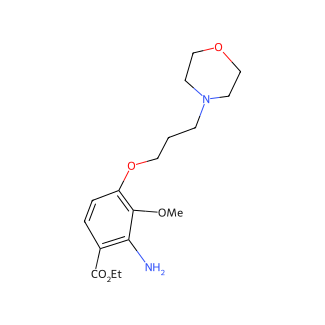 CCOC(=O)c1ccc(OCCCN2CCOCC2)c(OC)c1N